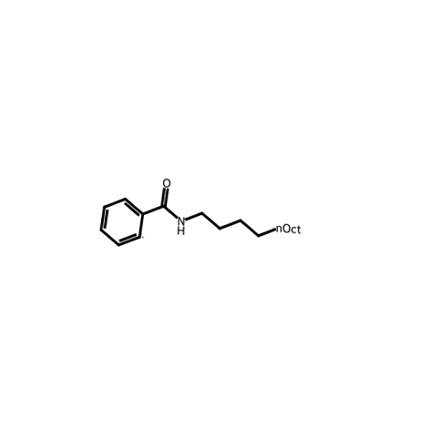 CCCCCCCCCCCCNC(=O)c1[c]cccc1